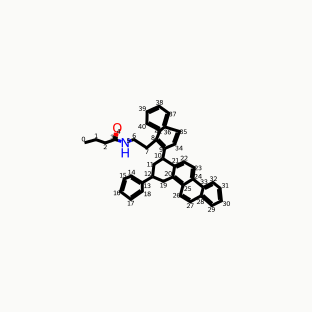 CCCC(=O)NCCc1c(C2CC(c3ccccc3)Cc3c2ccc2c3ccc3ccccc32)ccc2ccccc12